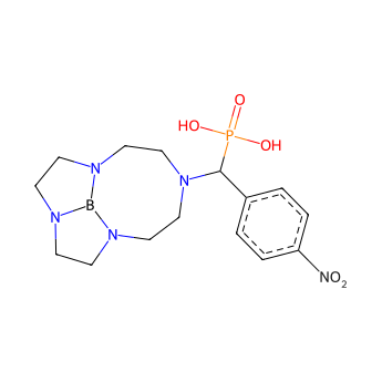 O=[N+]([O-])c1ccc(C(N2CCN3CCN4CCN(CC2)B43)P(=O)(O)O)cc1